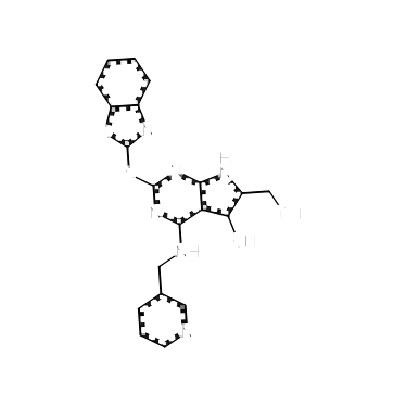 CCc1[nH]c2nc(Sc3nc4ccccc4s3)nc(NCc3cccnc3)c2c1C